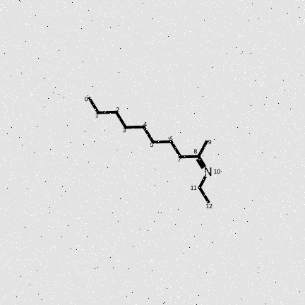 CCCCCCCC/C(C)=N\CC